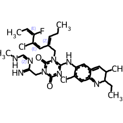 C\C=C(F)/C(Cl)=C\C(=C\CC)Cn1c(Nc2cc3c(cc2Cl)=NC(CC)C(C)C=3)nc(=O)n(CC(=N)/N=C\NC)c1=O